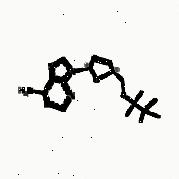 CC(C)(C)[Si](C)(C)OC[C@@H]1C=C[C@H](n2cnc3c(N)ncnc32)O1